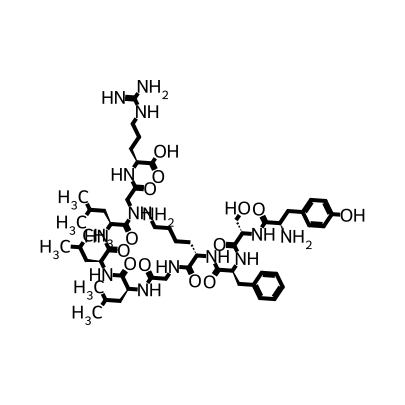 CC(C)C[C@H](NC(=O)CNC(=O)[C@H](CCCCN)NC(=O)[C@H](Cc1ccccc1)NC(=O)[C@H](CO)NC(=O)[C@@H](N)Cc1ccc(O)cc1)C(=O)N[C@@H](CC(C)C)C(=O)N[C@@H](CC(C)C)C(=O)NCC(=O)N[C@@H](CCCNC(=N)N)C(=O)O